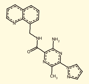 Cc1nc(C(=O)NCc2cccc3cccnc23)c(N)nc1-n1cccn1